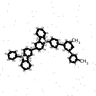 Cc1cccc(-c2cc(C)cc(-c3ccc(-n4c5ccccc5c5cc(-c6ccc7c(c6)c6ccccc6n7-c6ccccc6)ccc54)cc3)c2)c1